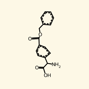 NC(C(=O)O)c1ccc(C(=O)OCc2ccccc2)cc1